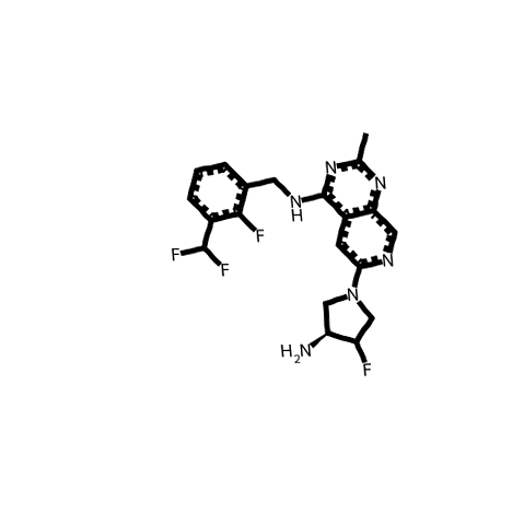 Cc1nc(NCc2cccc(C(F)F)c2F)c2cc(N3CC(F)[C@@H](N)C3)ncc2n1